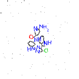 Nc1ccc(C(=O)Nc2cccc(Nc3ncc(Cl)c(-c4c[nH]c5ccccc45)n3)c2)cn1